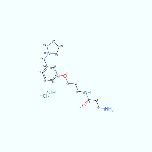 Cl.Cl.NCCC(=O)NCCCOc1cccc(CN2CCCC2)c1